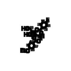 CCOc1ccc(C2OC[C@@H]3OC(c4ccc(F)cc4)O[C@H]([C@H](O)CO)[C@@H]3O2)cc1